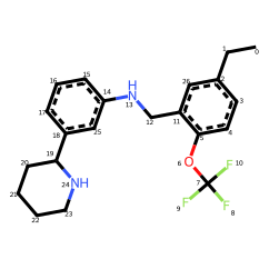 CCc1ccc(OC(F)(F)F)c(CNc2cccc(C3CCCCN3)c2)c1